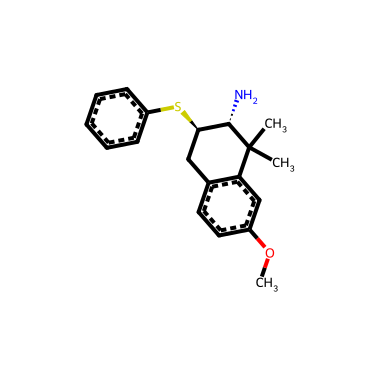 COc1ccc2c(c1)C(C)(C)[C@@H](N)[C@H](Sc1ccccc1)C2